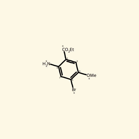 CCOC(=O)c1cc(OC)c(Br)cc1N